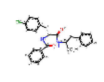 O=C(N[C@H](Cc1ccc(Cl)cc1)C(=O)N[C@@H](Cc1ccccc1)C(=O)O)c1ccccc1